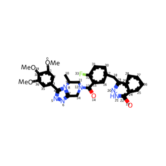 COc1cc(-c2nnc3n2C(C)CN(C(=O)c2cc(Cc4n[nH]c(=O)c5ccccc45)ccc2F)C3)cc(OC)c1OC